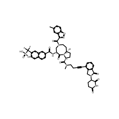 Cc1ccc2onc(C(=O)N3CC[C@H]4CC[C@@H](C(=O)N(C)CCC#Cc5cccc6c5CN(C5CCC(=O)NC5=O)C6=O)N4C(=O)[C@@H](NC(=O)c4ccc5ccc(C(F)(F)P(=O)(O)O)cc5c4)C3)c2c1